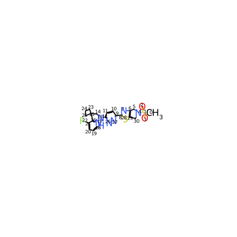 CS(=O)(=O)N1Cc2nc(-c3ccc(NCC4(c5ncccc5F)CCC4)nn3)sc2C1